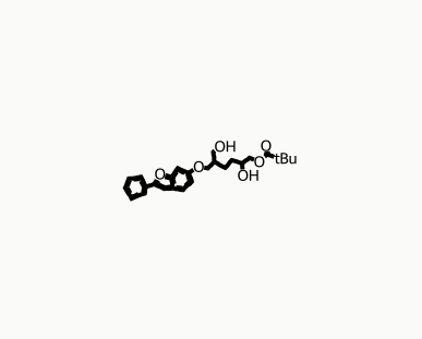 CC(C)(C)C(=O)OCC(O)CCC(CO)COc1ccc2cc(-c3ccccc3)oc2c1